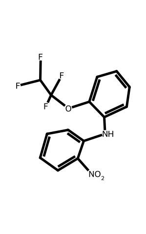 O=[N+]([O-])c1ccccc1Nc1ccccc1OC(F)(F)C(F)F